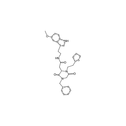 COc1ccc2[nH]cc(CCNC(=O)CC3C(=O)N(Cc4ccccc4)CC(=O)N3CCc3cccs3)c2c1